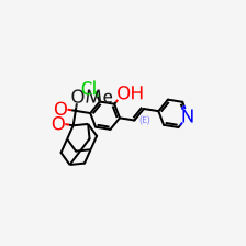 COC1(c2ccc(/C=C/c3ccncc3)c(O)c2Cl)OOC12C1CC3CC(C1)CC2C3